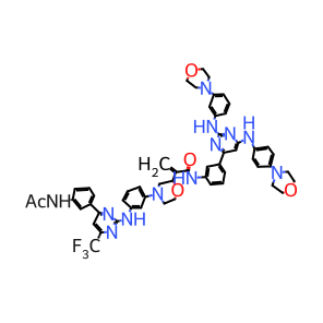 C=C(C(=O)Nc1cccc(-c2cc(Nc3ccc(N4CCOCC4)cc3)nc(Nc3cccc(N4CCOCC4)c3)n2)c1)C1CN(c2cccc(Nc3nc(-c4cccc(NC(C)=O)c4)cc(C(F)(F)F)n3)c2)CCO1